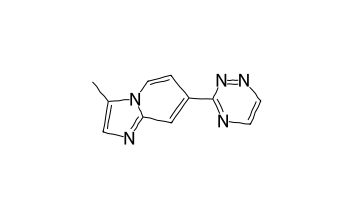 Cc1cnc2cc(-c3nccnn3)ccn12